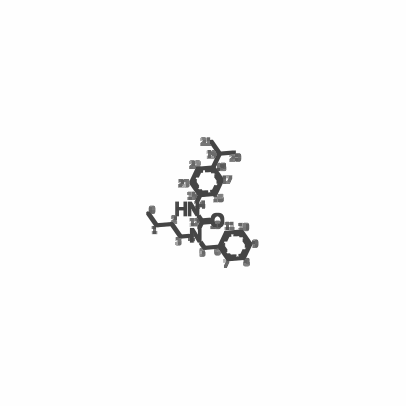 CCCCN(Cc1ccccc1)C(=O)Nc1ccc(C(C)C)cc1